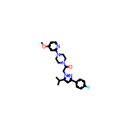 COc1ccnc(N2CCN(C(=O)Cn3nc(-c4ccc(F)cc4)cc3C(C)C)CC2)c1